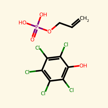 C=CCOP(=O)(O)O.Oc1c(Cl)c(Cl)c(Cl)c(Cl)c1Cl